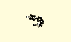 FC(F)(F)c1nnc2ccc(N3CC4CNCC4C3)nn12.N